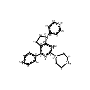 c1cc(-c2nc(N3CCOCC3)nc3c2CCN3c2ccncc2)ccn1